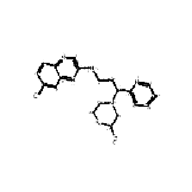 Clc1ccc2ncc(NCCC(c3ccccn3)N3CCOC(Cl)C3)nc2c1